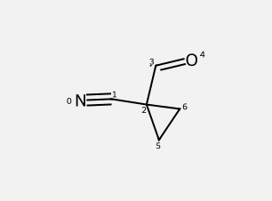 N#CC1([C]=O)CC1